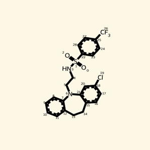 O=S(=O)(NCCN1c2ccccc2CCc2ccc(Cl)cc21)c1ccc(C(F)(F)F)cc1